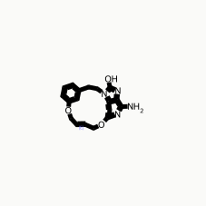 Nc1nc2cc3c1nc(O)n3CCc1cccc(c1)OC/C=C/CO2